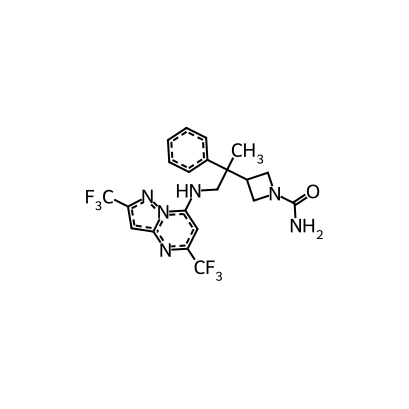 CC(CNc1cc(C(F)(F)F)nc2cc(C(F)(F)F)nn12)(c1ccccc1)C1CN(C(N)=O)C1